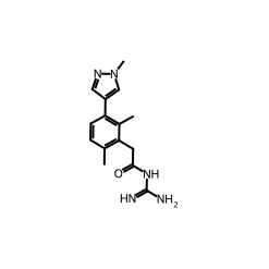 Cc1ccc(-c2cnn(C)c2)c(C)c1CC(=O)NC(=N)N